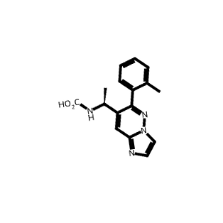 Cc1ccccc1-c1nn2ccnc2cc1[C@H](C)NC(=O)O